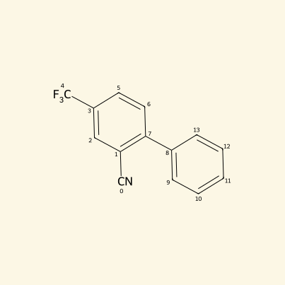 N#Cc1cc(C(F)(F)F)ccc1-c1ccccc1